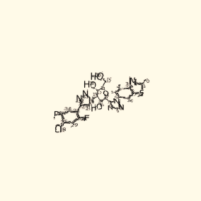 Cc1nc2ccc(-n3ncnc3[C@@H]3O[C@H](CO)[C@H](O)[C@H](n4cc(-c5cc(F)c(Cl)cc5F)nn4)[C@H]3O)cc2s1